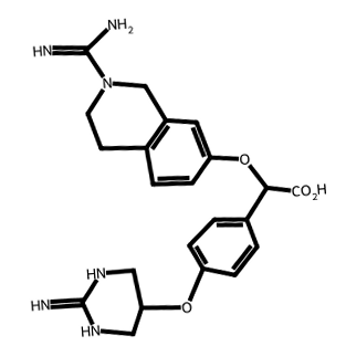 N=C1NCC(Oc2ccc(C(Oc3ccc4c(c3)CN(C(=N)N)CC4)C(=O)O)cc2)CN1